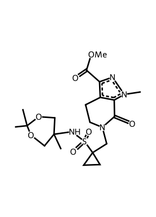 COC(=O)c1nn(C)c2c1CCN(CC1(S(=O)(=O)NC3(C)COC(C)(C)OC3)CC1)C2=O